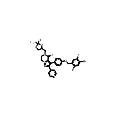 CC(C)c1cc(F)c(COc2ccc(-c3c(-c4ccncc4)nn4c3C(=O)N(CC3COC(C)(C)O3)CC4)cc2)cc1F